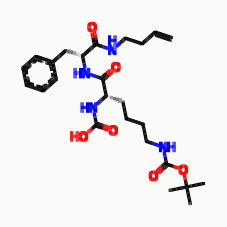 C=CCCNC(=O)[C@@H](Cc1ccccc1)NC(=O)[C@H](CCCCNC(=O)OC(C)(C)C)NC(=O)O